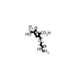 CC(O)C1C(=O)N2C(C(=O)O)=C(COCCC(=O)NN)CC12